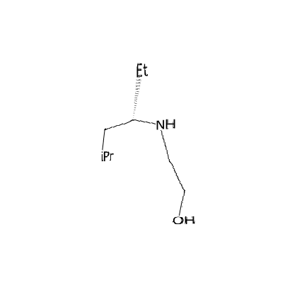 CC[C@@H](CC(C)C)NCCO